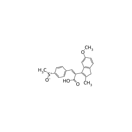 COc1ccc2c(c1)C(C(=Cc1ccc([S+](C)[O-])cc1)C(=O)O)=C(C)C2